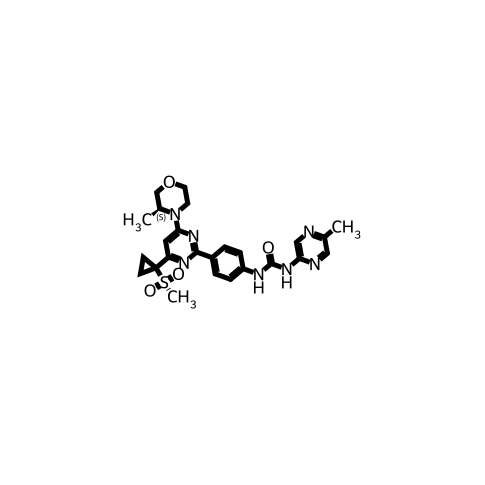 Cc1cnc(NC(=O)Nc2ccc(-c3nc(N4CCOC[C@@H]4C)cc(C4(S(C)(=O)=O)CC4)n3)cc2)cn1